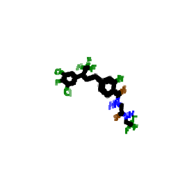 Fc1c(Cl)cc(C(/C=C/c2ccc(C(=S)NCC(=S)NCC(F)(F)F)c(Br)c2)C(F)(F)F)cc1Cl